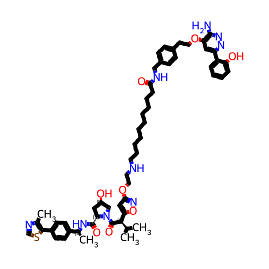 Cc1ncsc1-c1ccc([C@H](C)NC(=O)[C@@H]2C[C@@H](O)CN2C(=O)[C@@H](c2cc(OCCNCCCCCCCCCCC(=O)NCc3ccc(CCOc4cc(-c5ccccc5O)nnc4N)cc3)no2)C(C)C)cc1